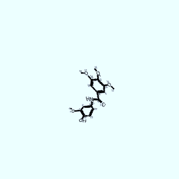 COc1cc(NC(=O)c2cc(OC)c(OC)c(OC)c2)ccc1O